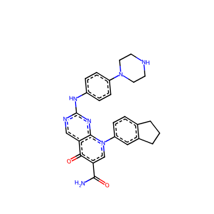 NC(=O)c1cn(-c2ccc3c(c2)CCC3)c2nc(Nc3ccc(N4CCNCC4)cc3)ncc2c1=O